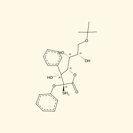 CC(C)(C)OC[C@H](O)[C@@H](O)[C@@H]1OC(=O)[C@]([SiH3])(Oc2ccccc2)[C@@]1(O)c1ccccc1